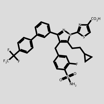 NS(=O)(=O)c1ccc(Cc2c(-c3cccc(-c4ccc(C(F)(F)C(F)(F)F)cc4)c3)nn(-c3nc(C(=O)O)cs3)c2CCC2CC2)cc1F